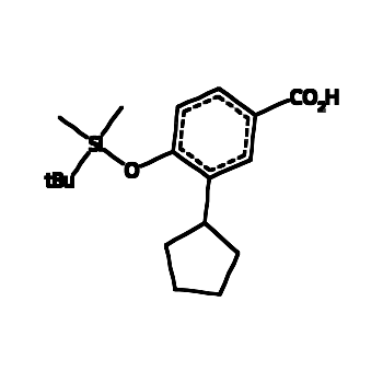 CC(C)(C)[Si](C)(C)Oc1ccc(C(=O)O)cc1C1CCCC1